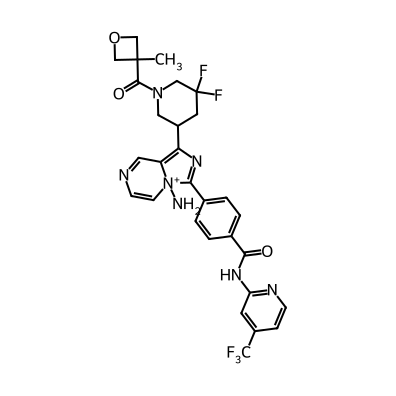 CC1(C(=O)N2CC(C3=C4C=NC=C[N+]4(N)C(c4ccc(C(=O)Nc5cc(C(F)(F)F)ccn5)cc4)=N3)CC(F)(F)C2)COC1